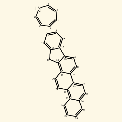 C1=CC=CNC=C1.c1ccc2c(c1)Cc1c-2ccc2c1ccc1c3ccccc3ccc21